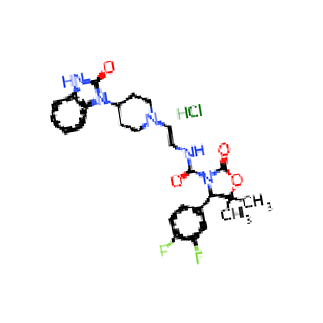 CC1(C)OC(=O)N(C(=O)NCCN2CCC(n3c(=O)[nH]c4ccccc43)CC2)C1c1ccc(F)c(F)c1.Cl